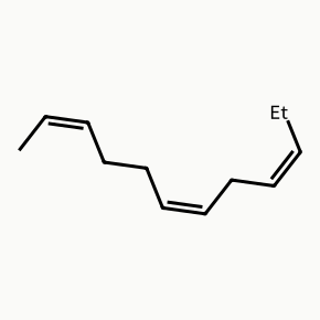 C/C=C\CC/C=C\C/C=C\CC